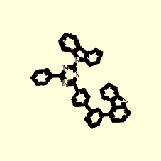 c1ccc(-c2nc(-c3ccc(-c4cccc(-c5cccc6sc7ccccc7c56)c4)cc3)nc(-n3c4ccccc4c4ccccc43)n2)cc1